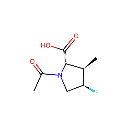 CC(=O)N1C[C@H](F)[C@H](C)[C@H]1C(=O)O